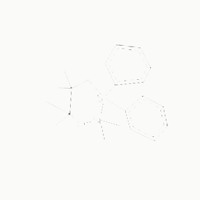 CC1(C)C[Si](c2ccccc2)(c2ccccc2)[Si](C)(C)OC1(C)C